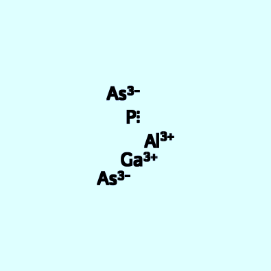 [Al+3].[As-3].[As-3].[Ga+3].[P]